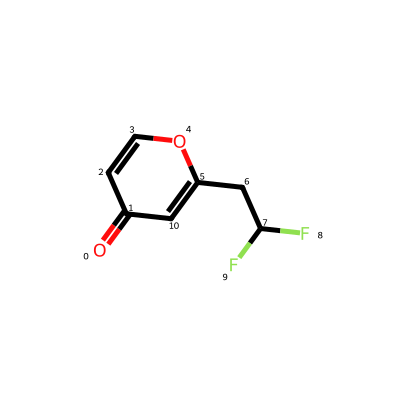 O=c1ccoc(CC(F)F)c1